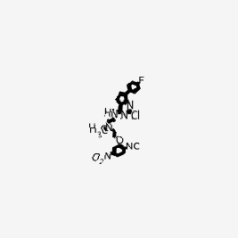 [C-]#[N+]c1ccc([N+](=O)[O-])cc1OCCN(C)CCNc1nc(Cl)nc2c1CCC2c1ccc(F)cc1